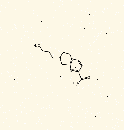 CCCCN1CCc2[c]nc(C(N)=O)nc2C1